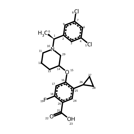 C[C@@H](c1cc(Cl)cc(Cl)c1)N1CCCC(Oc2cc(F)c(C(=O)O)cc2C2CC2)C1